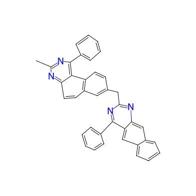 Cc1nc(-c2ccccc2)c2c(ccc3cc(Cc4nc(-c5ccccc5)c5cc6ccccc6cc5n4)ccc32)n1